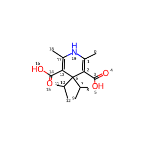 CC1=C(C(=O)O)C(C(C)C)(C(C)C)C(C(=O)O)=C(C)N1